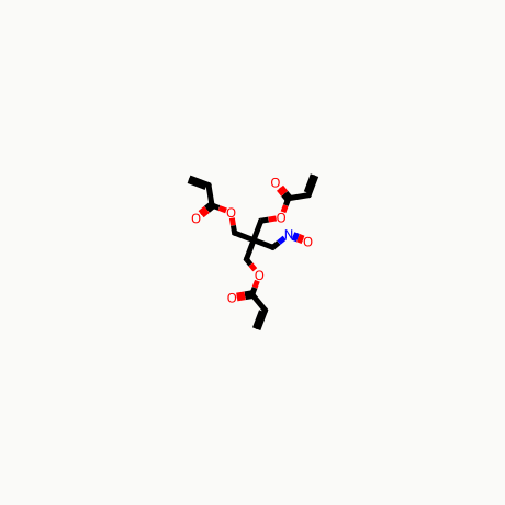 C=CC(=O)OCC(CN=O)(COC(=O)C=C)COC(=O)C=C